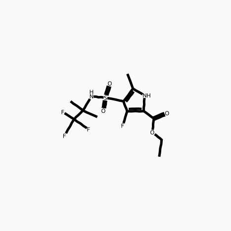 CCOC(=O)c1[nH]c(C)c(S(=O)(=O)NC(C)(C)C(F)(F)F)c1F